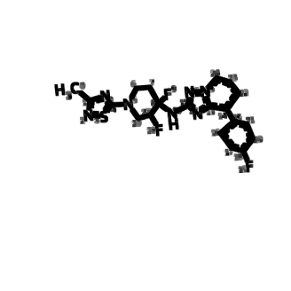 Cc1nsc(N2CCC(F)(Nc3nc4c(-c5ccc(F)cc5)cccn4n3)C(F)C2)n1